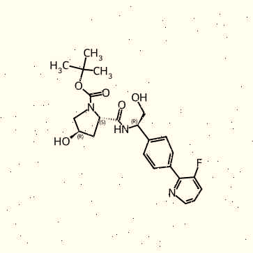 CC(C)(C)OC(=O)N1C[C@H](O)C[C@H]1C(=O)N[C@@H](CO)c1ccc(-c2ncccc2F)cc1